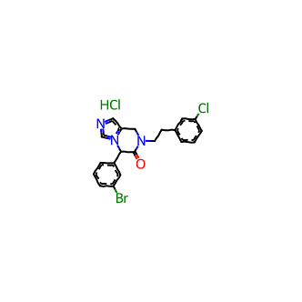 Cl.O=C1C(c2cccc(Br)c2)n2cncc2CN1CCc1cccc(Cl)c1